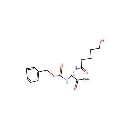 COC(=O)[C@@H](NC(=O)CCCCO)NC(=O)OCc1ccccc1